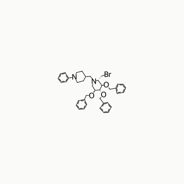 BrC[C@@H]1[C@@H](OCc2ccccc2)[C@H](OCc2ccccc2)[C@@H](OCc2ccccc2)CN1CC1CCN(c2ccccc2)CC1